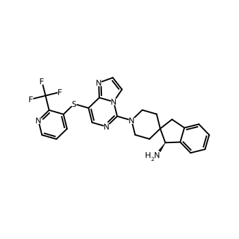 N[C@@H]1c2ccccc2CC12CCN(c1ncc(Sc3cccnc3C(F)(F)F)c3nccn13)CC2